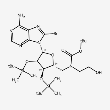 CC(C)(C)OC(=O)N(CCO)C[C@H]1O[C@@H](n2c(Br)nc3c(N)ncnc32)C(O[Si](C)(C)C(C)(C)C)[C@@H]1O[Si](C)(C)C(C)(C)C